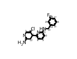 NC1=NC=C(Cl)C(c2cccc(NCc3cccc(F)c3)n2)C1